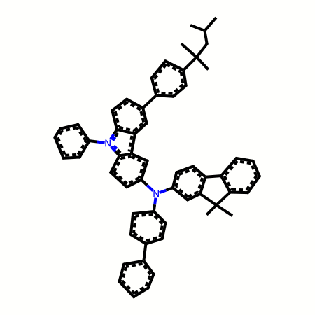 CC(C)CC(C)(C)c1ccc(-c2ccc3c(c2)c2cc(N(c4ccc(-c5ccccc5)cc4)c4ccc5c(c4)C(C)(C)c4ccccc4-5)ccc2n3-c2ccccc2)cc1